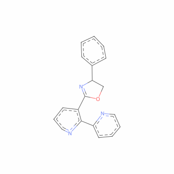 c1ccc(C2COC(c3cccnc3-c3ccccn3)=N2)cc1